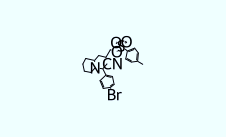 Cc1ccc(S(=O)(=O)OCCCC2CCCCN2C(C#N)c2ccc(Br)cc2)cc1